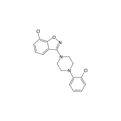 Clc1ccccc1N1CCN(c2noc3c(Cl)cccc23)CC1